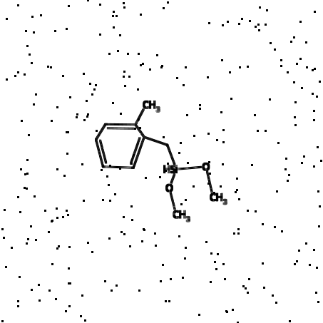 CO[SiH](Cc1ccccc1C)OC